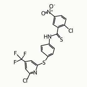 O=[N+]([O-])c1ccc(Cl)c(C(=S)Nc2ccc(Sc3cc(C(F)(F)F)cc(Cl)n3)cc2)c1